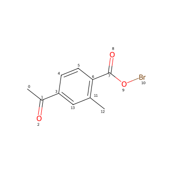 CC(=O)c1ccc(C(=O)OBr)c(C)c1